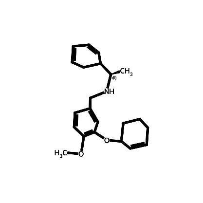 COc1ccc(CN[C@H](C)C2C=CC=CC2)cc1OC1C=CCCC1